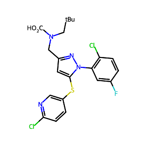 CC(C)(C)CN(Cc1cc(Sc2ccc(Cl)nc2)n(-c2cc(F)ccc2Cl)n1)C(=O)O